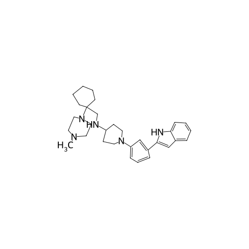 CN1CCN(C2(CNC3CCN(c4cccc(-c5cc6ccccc6[nH]5)c4)CC3)CCCCC2)CC1